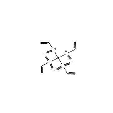 C=CS(=O)(=O)C(S(=O)(=O)C=C)(S(=O)(=O)C=C)S(=O)(=O)C=C